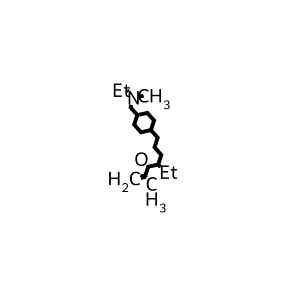 C=C(C)C(=O)C(CC)CCCC1CCC(CN(C)CC)CC1